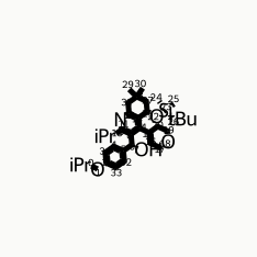 CC(C)Oc1ccc([C@@H](O)c2c(C(C)C)nc3c(c2C2=CCOCC2)C(O[Si](C)(C)C(C)(C)C)CC(C)(C)C3)cc1